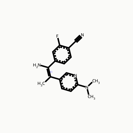 C/C(=C(\N)c1ccc(C#N)c(F)c1)c1ccc(N(C)C)nc1